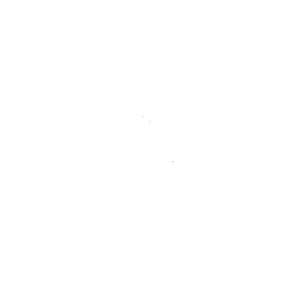 CNC.COC(=O)c1ccccc1